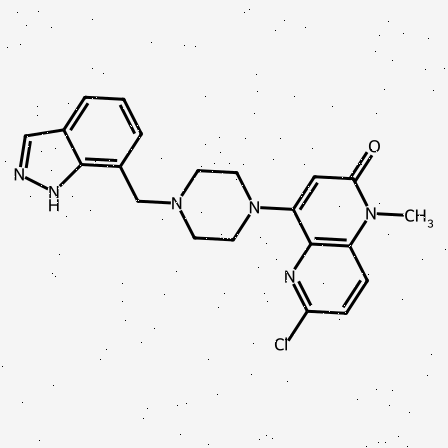 Cn1c(=O)cc(N2CCN(Cc3cccc4cn[nH]c34)CC2)c2nc(Cl)ccc21